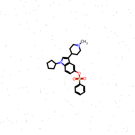 CN1CCC(c2cn(C3CCCC3)c3ccc(OS(=O)(=O)c4ccccc4)cc23)CC1